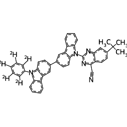 [2H]c1c([2H])c([2H])c(-n2c3ccccc3c3cc(-c4ccc5c(c4)c4ccccc4n5-c4nc(C#N)c5ccc(C(C)(C)C)cc5n4)ccc32)c([2H])c1[2H]